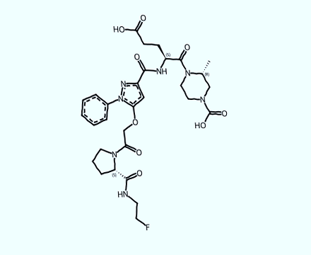 C[C@@H]1CN(C(=O)O)CCN1C(=O)[C@H](CCC(=O)O)NC(=O)c1cc(OCC(=O)N2CCC[C@H]2C(=O)NCCF)n(-c2ccccc2)n1